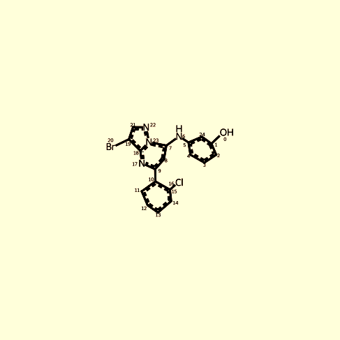 Oc1cccc(Nc2cc(-c3ccccc3Cl)nc3c(Br)cnn23)c1